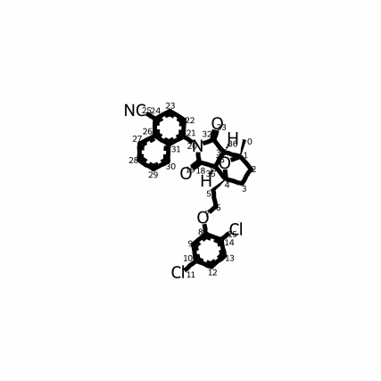 C[C@@]12CC[C@@](CCOc3cc(Cl)ccc3Cl)(O1)[C@H]1C(=O)N(c3ccc(C#N)c4ccccc34)C(=O)[C@H]12